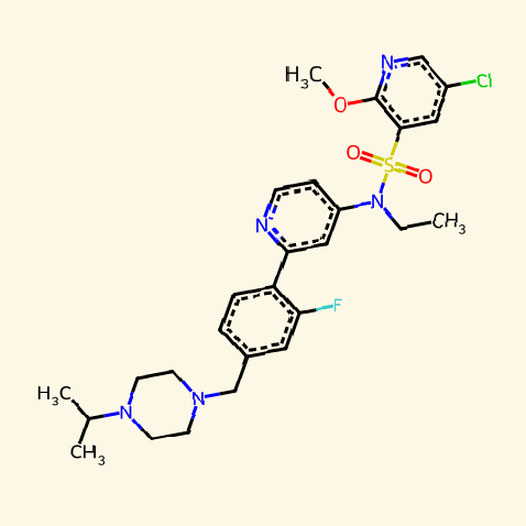 CCN(c1ccnc(-c2ccc(CN3CCN(C(C)C)CC3)cc2F)c1)S(=O)(=O)c1cc(Cl)cnc1OC